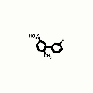 Cc1ccc(S(=O)(=O)O)cc1-c1cccc(F)c1